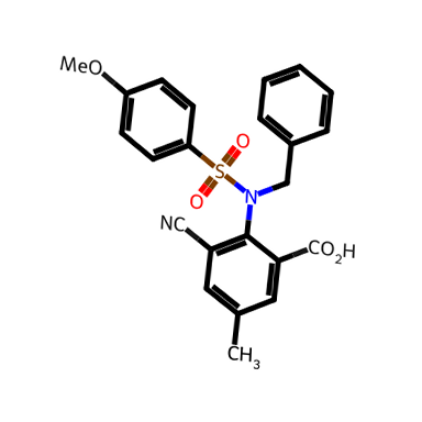 COc1ccc(S(=O)(=O)N(Cc2ccccc2)c2c(C#N)cc(C)cc2C(=O)O)cc1